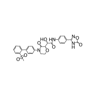 CS(=O)(=O)c1ccccc1-c1ccc(N2CCO[C@H]([C@@H](O)C(=O)Nc3ccc(-c4noc(=O)[nH]4)cc3)C2=O)cc1